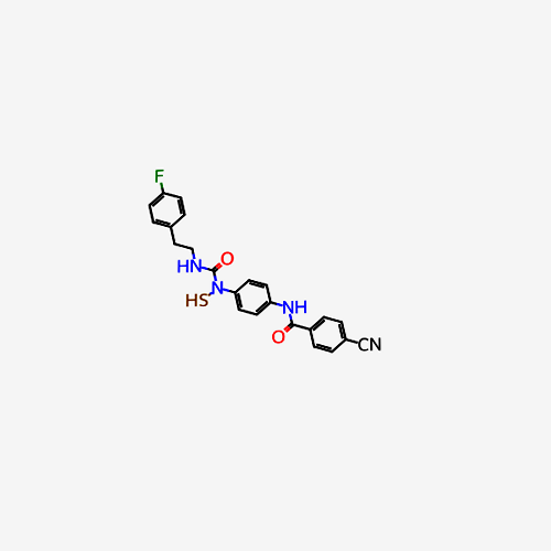 N#Cc1ccc(C(=O)Nc2ccc(N(S)C(=O)NCCc3ccc(F)cc3)cc2)cc1